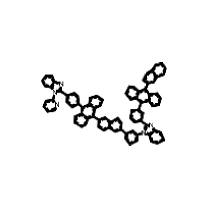 c1ccc(-n2c(-c3ccc(-c4c5ccccc5c(-c5ccc6cc(-c7cccc(-n8c(-c9cccc(-c%10c%11ccccc%11c(-c%11ccc%12ccccc%12c%11)c%11ccccc%10%11)c9)nc9ccccc98)c7)ccc6c5)c5ccccc45)cc3)nc3ccccc32)nc1